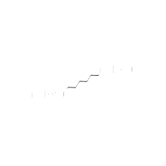 [CH2]CCCCCCCCCCCCCCCCCCC